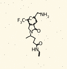 C=CNC(=O)CCC(C)N1Cc2c(cc(CN)cc2C(F)(F)F)C1=O